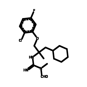 CN(C=O)C(=N)NC(C)(COc1cc(F)ccc1Cl)CC1CCCCC1